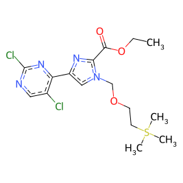 CCOC(=O)c1nc(-c2nc(Cl)ncc2Cl)cn1COCCS(C)(C)C